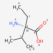 CC[C@@](N)(C(=O)O)C(C)C